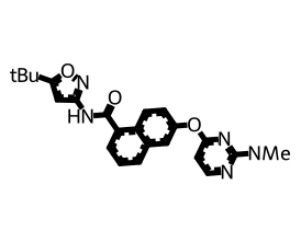 CNc1nccc(Oc2ccc3c(C(=O)Nc4cc(C(C)(C)C)on4)cccc3c2)n1